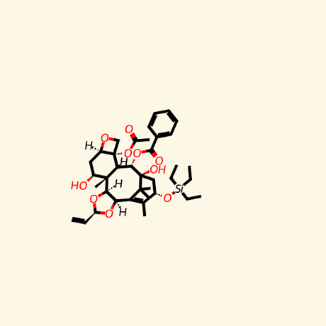 C=C[C@@H]1O[C@@H]2C3=C(C)[C@@H](O[Si](CC)(CC)CC)C[C@@](O)([C@@H](OC(=O)c4ccccc4)[C@@H]4[C@]5(OC(C)=O)CO[C@@H]5C[C@H](O)[C@@]4(C)[C@@H]2O1)C3(C)C